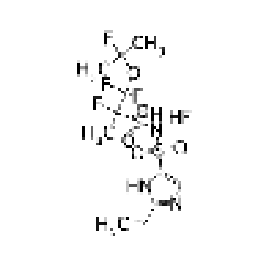 C=Cc1ncc(S(=O)(=O)NS(=O)(=O)C(C)(F)C(F)(F)OC(C)(C)F)[nH]1.F